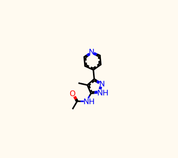 CC(=O)Nc1[nH]nc(-c2ccncc2)c1C